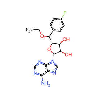 Nc1ncnc2c1ncn2[C@@H]1O[C@H](C(OCC(F)(F)F)c2ccc(F)cc2)[C@@H](O)[C@H]1O